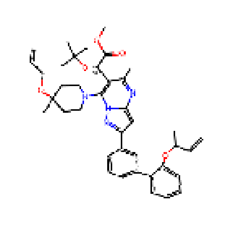 C=CCOC1(C)CCN(c2c([C@H](OC(C)(C)C)C(=O)OC)c(C)nc3cc(-c4cccc(-c5ccccc5OC(C)C=C)c4)nn23)CC1